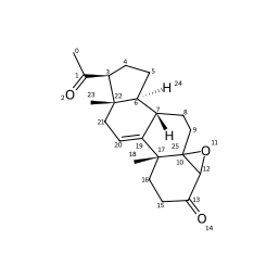 CC(=O)[C@H]1CC[C@H]2[C@@H]3CCC45OC4C(=O)CC[C@]5(C)C3=CC[C@]12C